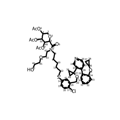 CC(=O)OC1[CH]OC(C(=O)N(CCCCCSc2ccc(Cl)c(COC3(c4cnccc4-c4ccccc4OC4CC4)CC3)c2)CCOCCO)C(OC(C)=O)C1OC(C)=O